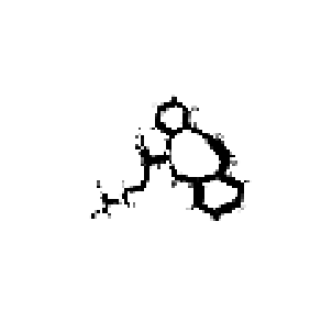 CCCC(=O)NCCC(=O)N1Cc2ccccc2C#Cc2ccccc21